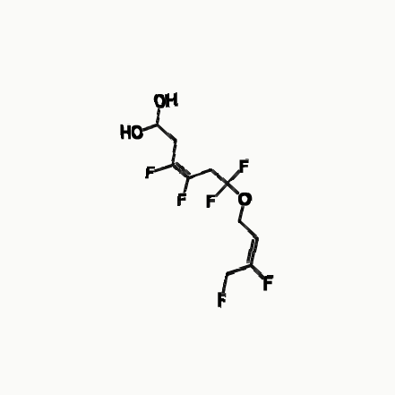 OC(O)C/C(F)=C(/F)CC(F)(F)OC/C=C(/F)CF